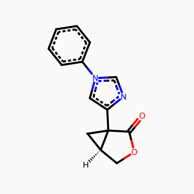 O=C1OC[C@H]2CC12c1cn(-c2ccccc2)cn1